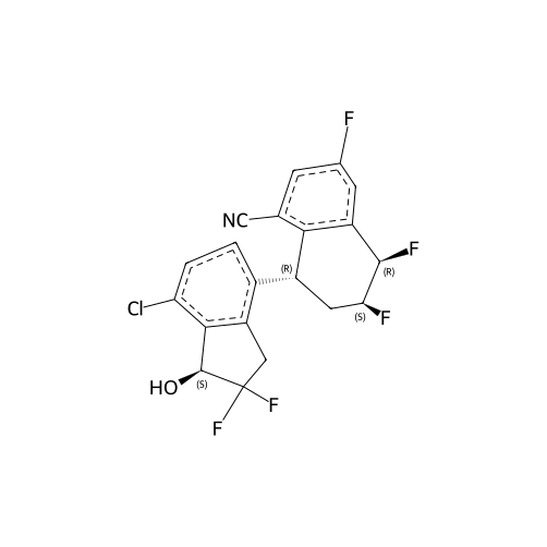 N#Cc1cc(F)cc2c1[C@@H](c1ccc(Cl)c3c1CC(F)(F)[C@H]3O)C[C@H](F)[C@@H]2F